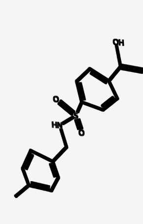 C=C(O)c1ccc(S(=O)(=O)NCc2ccc(C)cc2)cc1